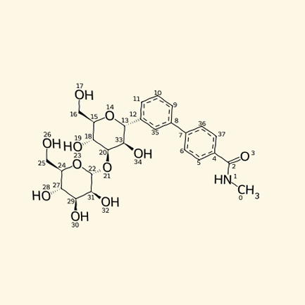 CNC(=O)c1ccc(-c2cccc([C@H]3O[C@H](CO)[C@@H](O)[C@H](O[C@H]4O[C@H](CO)[C@@H](O)[C@H](O)[C@@H]4O)[C@@H]3O)c2)cc1